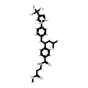 COC(=O)CCNC(=O)c1ccc(C(Cc2ccc(-n3cc(C(F)(F)F)cn3)cc2)CC(C)C)cc1